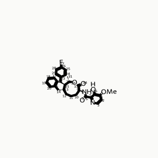 COc1ccnc(C(=O)N[C@H]2CCC[C@H](Cc3ccccc3)[C@@H](Cc3ccc(F)cc3)[C@H](C)OC2=O)c1O